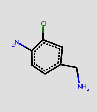 NCc1ccc(N)c(Cl)c1